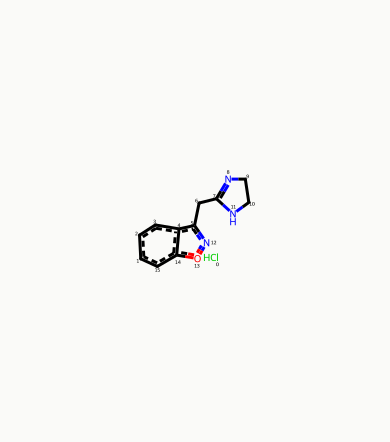 Cl.c1ccc2c(CC3=NCCN3)noc2c1